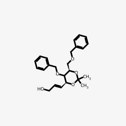 CC1(C)O[C@@H](/C=C/CO)C(OCc2ccccc2)[C@@H](COCc2ccccc2)O1